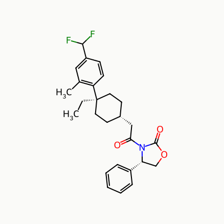 CC[C@]1(c2ccc(C(F)F)cc2C)CC[C@H](CC(=O)N2C(=O)OC[C@@H]2c2ccccc2)CC1